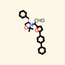 CC1(C)OC[C@H](Cc2ccccc2)N1C(C=O)c1ccc(-c2ccc(-c3ccccc3)cc2)o1